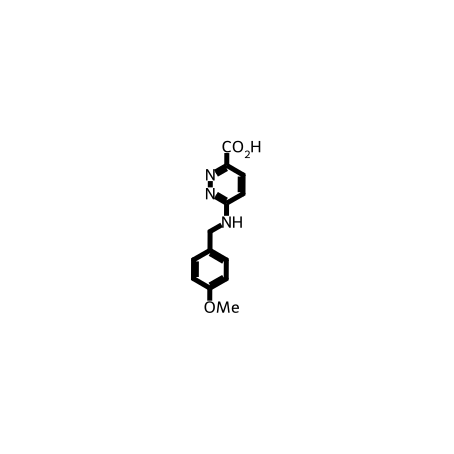 COc1ccc(CNc2ccc(C(=O)O)nn2)cc1